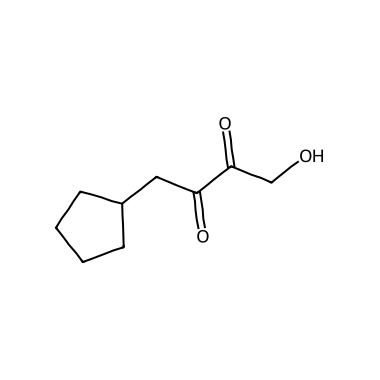 O=C(CO)C(=O)CC1CCCC1